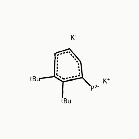 CC(C)(C)c1cccc([P-2])c1C(C)(C)C.[K+].[K+]